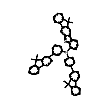 CC1(C)c2ccccc2-c2ccc(-c3ccc(N(c4cccc(-c5ccc6c(c5)C(C)(C)c5ccccc5-6)c4)c4cccc5c4sc4cc6c(cc45)C(C)(C)c4ccccc4-6)cc3)cc21